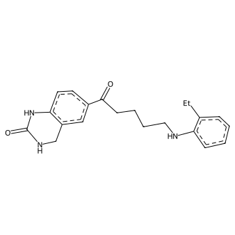 CCc1ccccc1NCCCCC(=O)c1ccc2c(c1)CNC(=O)N2